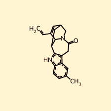 C=CC1=CC2CC3c4[nH]c5ccc(C)cc5c4CC(=O)N(C2)C13